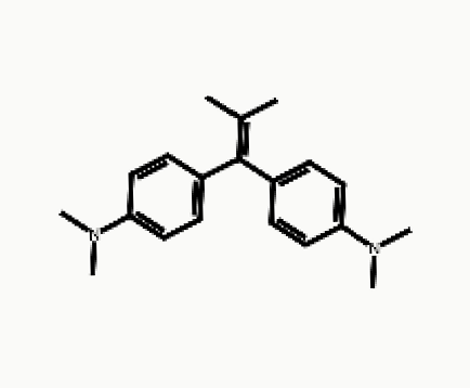 CC(C)=C(c1ccc(N(C)C)cc1)c1ccc(N(C)C)cc1